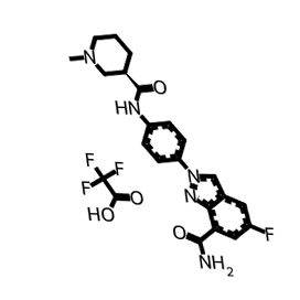 CN1CCC[C@@H](C(=O)Nc2ccc(-n3cc4cc(F)cc(C(N)=O)c4n3)cc2)C1.O=C(O)C(F)(F)F